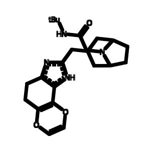 CC(C)(C)NC(=O)CN1C2CCC1CC(Cc1nc3c([nH]1)C1=C(CC3)OC=CO1)C2